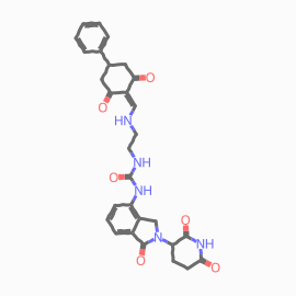 O=C1CCC(N2Cc3c(NC(=O)NCCNC=C4C(=O)CC(c5ccccc5)CC4=O)cccc3C2=O)C(=O)N1